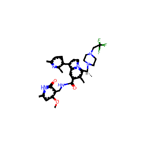 COc1cc(C)[nH]c(=O)c1CNC(=O)c1cc2c(-c3ccc(C)nc3C)ccn2c([C@@H](C)N2CCN(CC(F)(F)F)CC2)c1C